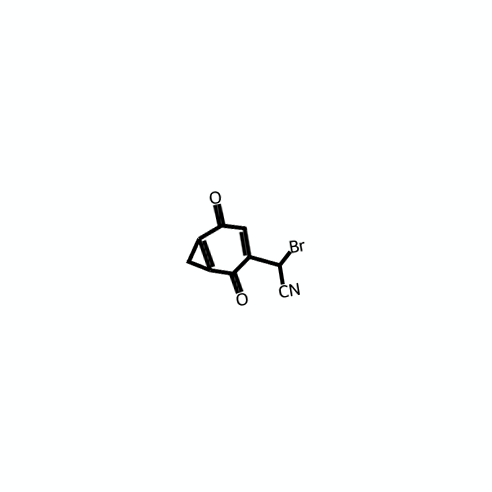 N#CC(Br)C1=CC(=O)C2=C(C2)C1=O